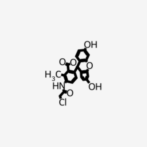 Cc1c(NC(=O)CCl)ccc2c1C(=O)OC21c2ccc(O)cc2Oc2cc(O)ccc21